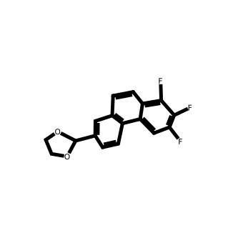 Fc1cc2c(ccc3cc(C4OCCO4)ccc32)c(F)c1F